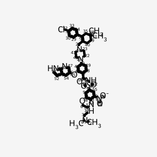 CN(C)CC[C@@H]1COc2cc(S(=O)(=O)NC(=O)c3ccc(N4CCN(CC5=C(c6ccc(Cl)cc6)CC(C)(C)CC5)CC4)cc3Oc3cnc4[nH]ccc4c3)cc([N+](=O)[O-])c2N1